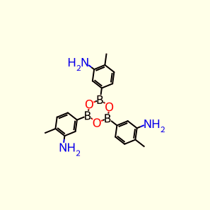 Cc1ccc(B2OB(c3ccc(C)c(N)c3)OB(c3ccc(C)c(N)c3)O2)cc1N